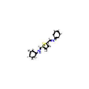 C(=N\c1ccccc1)/c1ccc(/C=N/c2ccccc2)s1